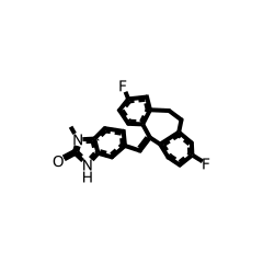 Cn1c(=O)[nH]c2cc(C=C3c4ccc(F)cc4CCc4cc(F)ccc43)ccc21